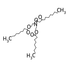 CCCCCCCCC(=O)CC(=O)N(CCOC(=O)CCCCCCCC)CCOC(=O)CCCCCCCC